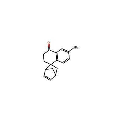 CC(C)(C)c1ccc2c(c1)C(=O)CCC21CC2C=CC1C2